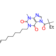 C=CCCCCCCCn1c(=O)c2c(ncn2C(=O)C(C)(C)CC)n(C)c1=O